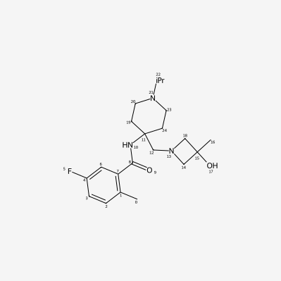 Cc1ccc(F)cc1C(=O)NC1(CN2CC(C)(O)C2)CCN(C(C)C)CC1